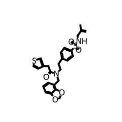 C=C(C)CNS(=O)(=O)c1ccc(CCN(Cc2cccc3c2OCO3)C(=O)Cc2ccsc2)cc1